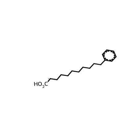 O=C(O)[CH]CCCCCCCCCc1ccccc1